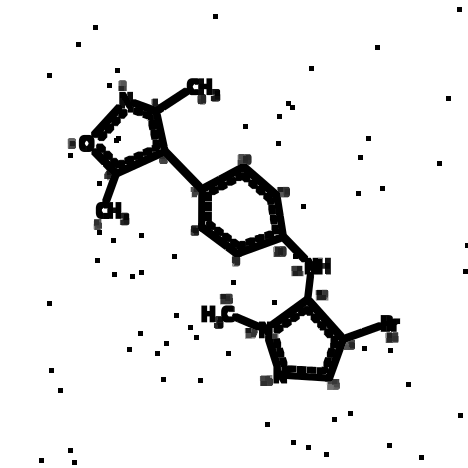 Cc1noc(C)c1-c1ccc(Nc2c(Br)cnn2C)cc1